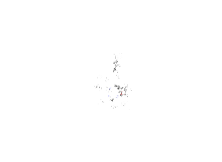 C/C1=C2N=C(/C=C3N=C(/C(C)=C4/[C@@H](CCC(N)=O)[C@](C)(CC(N)=O)[C@](C)([C@@H]5N=C1[C@](C)(CCC(=O)NCC(C)OP(=O)([O-])O[C@H]1[C@@H](O)[C@@H](n6cnc7cc(C)c(C)cc76)O[C@@H]1CO)[C@H]5CC(N)=O)[N]4[Co+][C]#N)[C@@](C)(CC(N)=O)[C@@H]\3CCC(N)=O)C(C)(C)[C@@H]/2CCC(N)=O.N=c1sccn1CCc1ccccc1